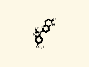 CC(C)c1nc2cc(C(=O)O)ccc2n1-c1ccc2c(n1)CCC(=O)N2